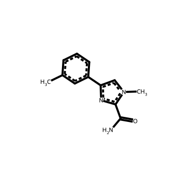 Cc1cccc(-c2cn(C)c(C(N)=O)n2)c1